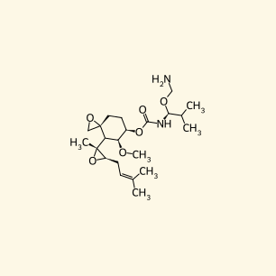 CO[C@H]1C([C@@]2(C)O[C@@H]2CC=C(C)C)[C@]2(CC[C@H]1OC(=O)N[C@@H](OCN)C(C)C)CO2